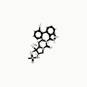 CS(=O)(=O)N[C@@H]1CN2C(=O)N(c3noc4cccc(-c5c(F)cccc5F)c34)CC[C@@H]2C1(F)F